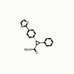 COC(=O)[C@@H]1[C@H](c2ccccc2)[C@H]1c1ccc(-c2ncco2)cc1